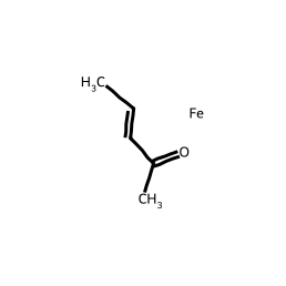 CC=CC(C)=O.[Fe]